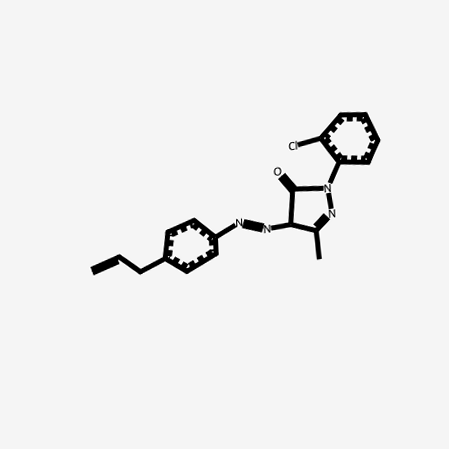 C=CCc1ccc(N=NC2C(=O)N(c3ccccc3Cl)N=C2C)cc1